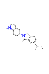 C=C1c2cc(C(C)CC)ccc2CN1c1ccc2c(ccn2C)c1